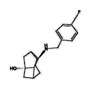 O[C@@]12CC3CC[C@H](NCc4ccc(F)cc4)C(CC31)C2